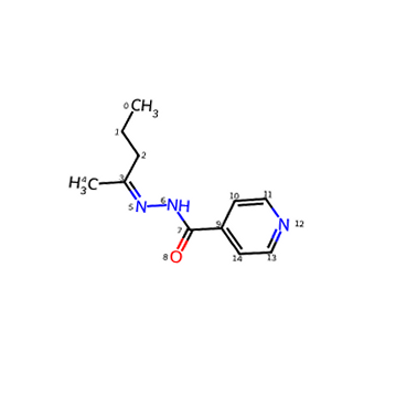 CCCC(C)=NNC(=O)c1ccncc1